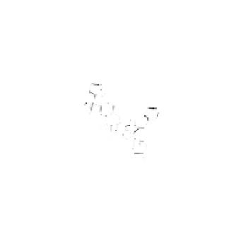 CCN(CC)C(CC1CCC(C(c2cccs2)N(C)C)CC1)c1nc(Cc2ccccc2)c(N2CCC(C)CC2)o1